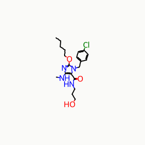 CCCCCOc1nc(NC)c(C(=O)NCCCO)n1Cc1ccc(Cl)cc1